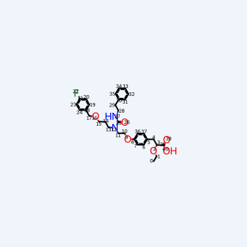 CCOC(Cc1ccc(OCCN(CCCOCc2ccc(F)cc2)C(=O)NCCc2ccccc2)cc1)C(=O)O